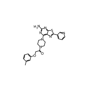 Cc1cccc(OCC(=O)N2CCN(c3nc(N)nc4sc(-c5cccnc5)nc34)CC2)c1